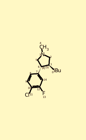 CCC(C)[C@@H]1CN(C)C[C@H]1c1ccc(Cl)c(F)c1